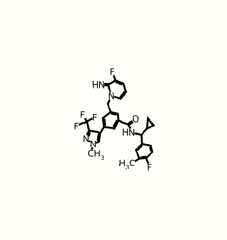 Cc1cc(C(NC(=O)c2cc(Cn3cccc(F)c3=N)cc(-c3cn(C)nc3C(F)(F)F)c2)C2CC2)ccc1F